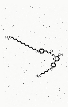 CCCCCCCCCCCCCCOc1ccc(CCC(=O)OC[C@H]2O[C@H](c3ccc(OCCCCCC)cc3)CC[C@@H]2O)cc1